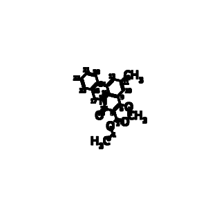 CCOC(=O)c1c(OC)c2cc(C)ccc2n(Cc2ccccc2)c1=O